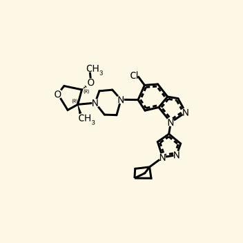 CO[C@H]1COC[C@@]1(C)N1CCN(c2cc3c(cnn3-c3cnn(C45CC(C4)C5)c3)cc2Cl)CC1